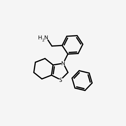 NCc1ccccc1N1CSC2=C1CCCC2.c1ccccc1